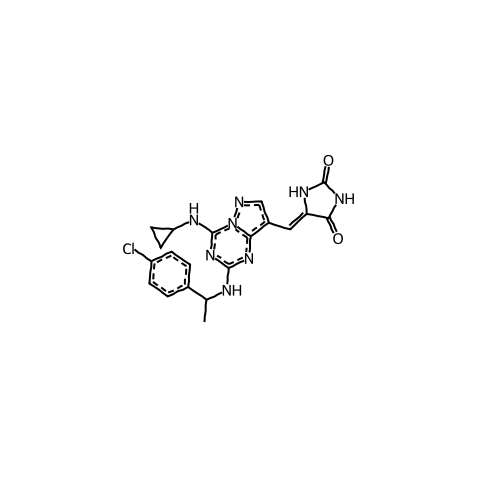 CC(Nc1nc(NC2CC2)n2ncc(/C=C3\NC(=O)NC3=O)c2n1)c1ccc(Cl)cc1